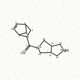 O=C(C1CC2C=CC1C2)N1CC2CNCC2C1